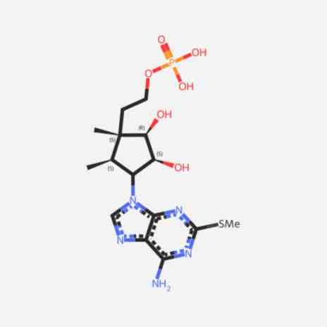 CSc1nc(N)c2ncn(C3[C@@H](C)[C@](C)(CCOP(=O)(O)O)[C@@H](O)[C@H]3O)c2n1